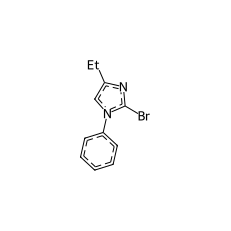 CCc1cn(-c2ccccc2)c(Br)n1